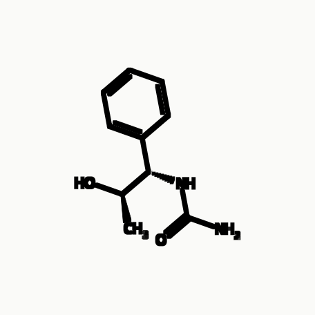 C[C@@H](O)[C@@H](NC(N)=O)c1ccccc1